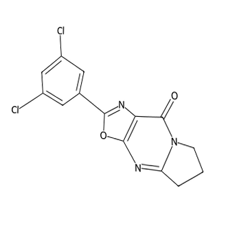 O=c1c2nc(-c3cc(Cl)cc(Cl)c3)oc2nc2n1CCC2